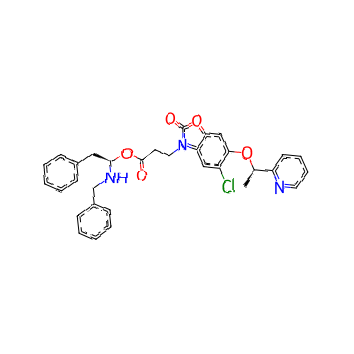 C[C@@H](Oc1cc2oc(=O)n(CCC(=O)O[C@H](Cc3ccccc3)NCc3ccccc3)c2cc1Cl)c1ccccn1